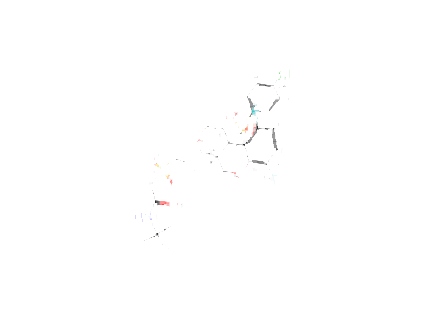 CC(C)(C)NC(=O)CS(=O)(=O)CC[C@@H]1OCC[C@@]2(S(=O)(=O)c3ccc(Cl)cc3)c3c(F)ccc(F)c3OC[C@@H]12